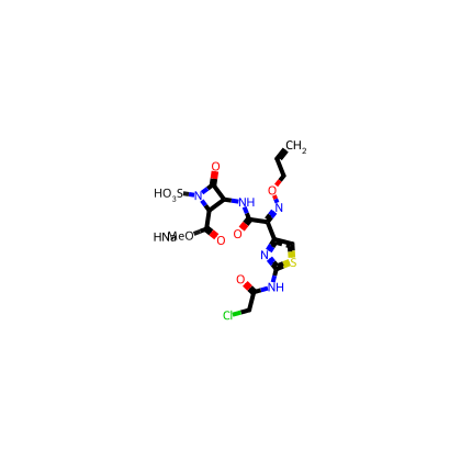 C=CCO/N=C(\C(=O)NC1C(=O)N(S(=O)(=O)O)C1C(=O)OC)c1csc(NC(=O)CCl)n1.[NaH]